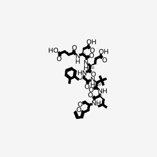 Cc1ccccc1C[C@H](NC(=O)[C@H](CCC(=O)O)NC(=O)[C@H](CC(=O)O)NC(=O)CCC(=O)O)C(=O)N[C@H](C(=O)N[C@@H](CC(C)C)C(=O)NC(C=O)Cc1ccco1)C(C)(C)C